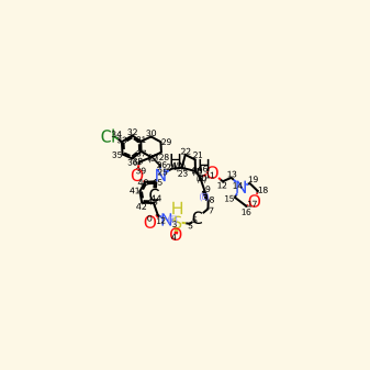 O=C1/N=[SH](=O)\CCC/C=C/[C@H](OCCN2CCOCC2)[C@@H]2CC[C@H]2CN2C[C@@]3(CCCc4cc(Cl)ccc43)COc3ccc1cc32